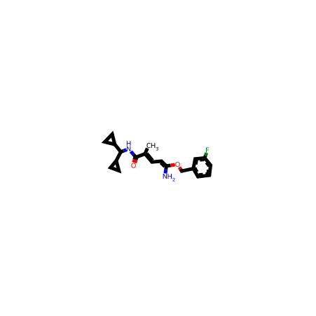 C/C(=C\C=C(/N)OCc1cccc(F)c1)C(=O)NC(C1CC1)C1CC1